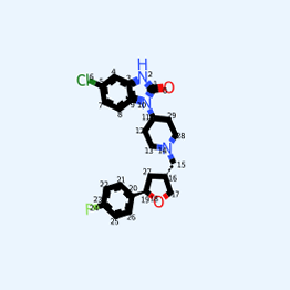 O=c1[nH]c2cc(Cl)ccc2n1C1CCN(C[C@@H]2CO[C@@H](c3ccc(F)cc3)C2)CC1